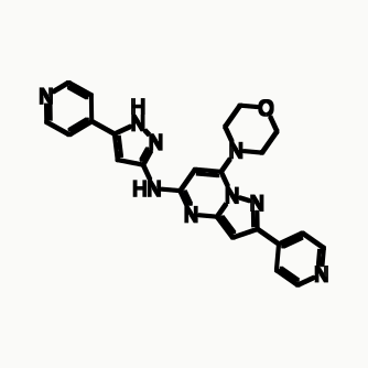 c1cc(-c2cc3nc(Nc4cc(-c5ccncc5)[nH]n4)cc(N4CCOCC4)n3n2)ccn1